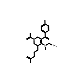 C=C(C)CCCC1CN(C(=C)C)CC(C(=C)c2ccc(C)cc2)=C1N(C)CN